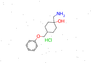 Cl.NCC1(O)CCC(COc2ccccc2)CC1